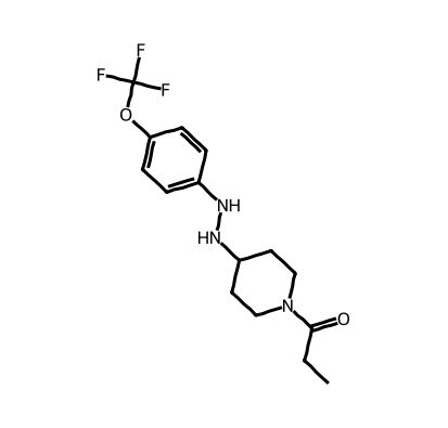 CCC(=O)N1CCC(NNc2ccc(OC(F)(F)F)cc2)CC1